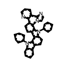 c1ccc(-n2c3ccccc3c3ccc4c(c5ccc6c7ncccc7c7nccn7c6c5n4-c4ccccc4)c32)cc1